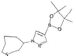 CC1(C)OB(c2cnn(C3CCCSC3)c2)OC1(C)C